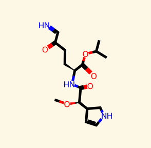 CO[C@@H](C(=O)N[C@@H](CCC(=O)C=N)C(=O)OC(C)C)C1C=CNC1